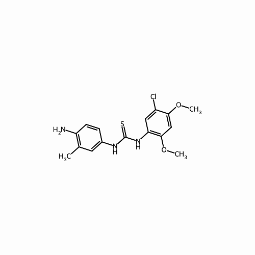 COc1cc(OC)c(NC(=S)Nc2ccc(N)c(C)c2)cc1Cl